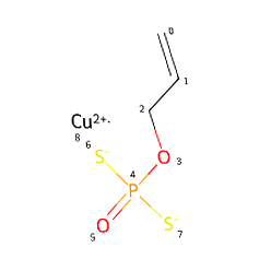 C=CCOP(=O)([S-])[S-].[Cu+2]